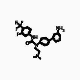 CN(C)CCN(C(=O)Nc1ccc(C(F)(F)F)c(F)c1)c1ccc(-c2cccc(N)c2)cc1